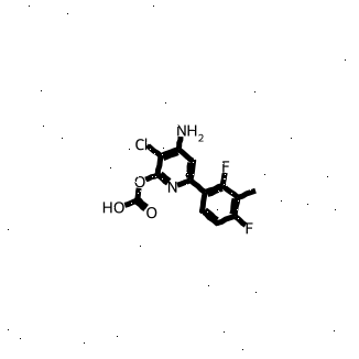 Cc1c(F)ccc(-c2cc(N)c(Cl)c(OC(=O)O)n2)c1F